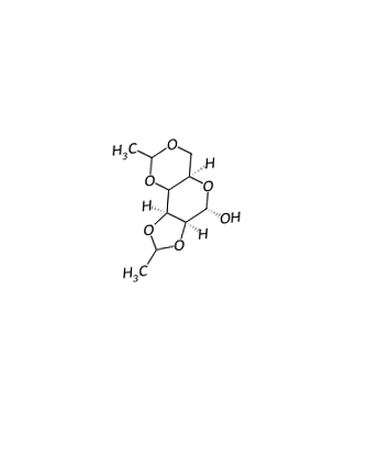 CC1OC[C@H]2O[C@H](O)[C@H]3OC(C)O[C@H]3C2O1